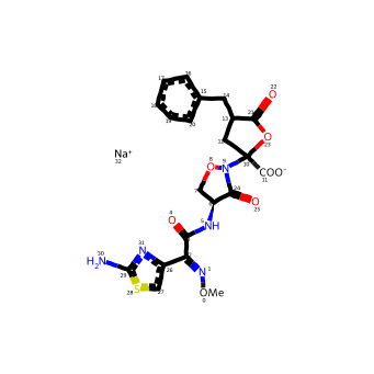 CON=C(C(=O)N[C@H]1CON(C2(C(=O)[O-])CC(Cc3ccccc3)C(=O)O2)C1=O)c1csc(N)n1.[Na+]